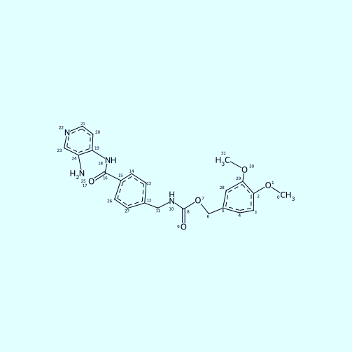 COc1ccc(COC(=O)NCc2ccc(C(=O)Nc3ccncc3N)cc2)cc1OC